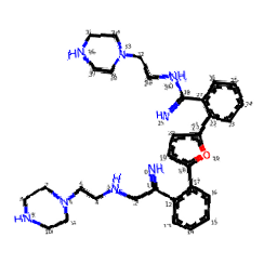 N=C(CNCCN1CCNCC1)c1ccccc1-c1ccc(-c2ccccc2C(=N)NCCN2CCNCC2)o1